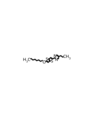 CCCCCCCCOc1cc2sc(-c3ncc(CCC)cn3)cc2s1